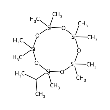 CC(C)[Si]1(C)O[Si](C)(C)O[Si](C)(C)O[Si](C)(C)O[Si](C)(C)O1